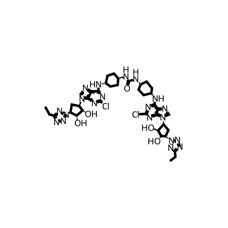 CCc1nnn([C@H]2C[C@@H](n3cnc4c(N[C@H]5CC[C@H](NC(=O)N[C@H]6CC[C@H](Nc7nc(Cl)nc8c7ncn8[C@@H]7C[C@H](n8nnc(CC)n8)[C@@H](O)[C@H]7O)CC6)CC5)nc(Cl)nc43)[C@H](O)[C@@H]2O)n1